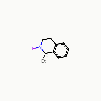 CC[C@H]1c2ccccc2CCN1I